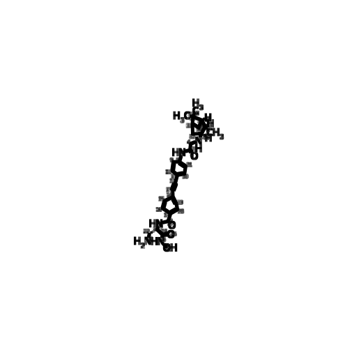 C[C@@H]1[C@@H](NCC(=O)Nc2ccc(C#Cc3ccc(C(=O)N[C@@H](CN)C(=O)NO)cc3)cc2)CC2C[C@@H]1C2(C)C